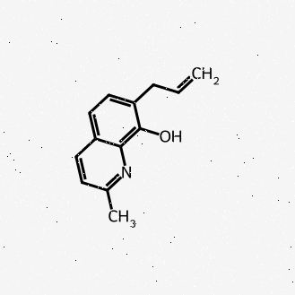 C=CCc1ccc2ccc(C)nc2c1O